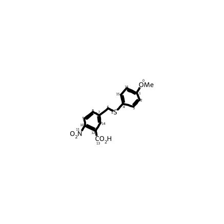 COc1ccc(SCc2ccc([N+](=O)[O-])c(C(=O)O)c2)cc1